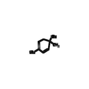 CC(C)(C)C1=CCC(C)(C(C)(C)C)C=C1